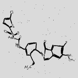 C=Cc1cc(NC(=O)NS(=O)(=O)c2ccc(Cl)s2)ccc1-n1ccc2cc(NC)c(F)cc2c1=O